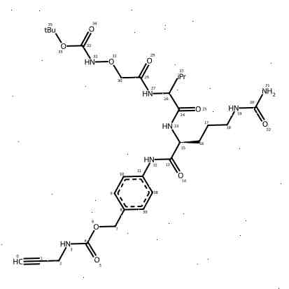 C#CCNC(=O)OCc1ccc(NC(=O)[C@H](CCCNC(N)=O)NC(=O)C(NC(=O)CONC(=O)OC(C)(C)C)C(C)C)cc1